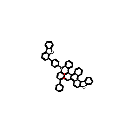 c1ccc(-c2ccc(N(c3ccc(-c4cccc5c4oc4ccccc45)cc3)c3ccccc3-c3cccc4c5ccc6oc7ccccc7c6c5c5ccccc5c34)cc2)cc1